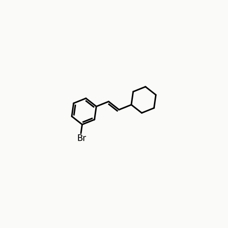 Brc1cccc(C=CC2CCCCC2)c1